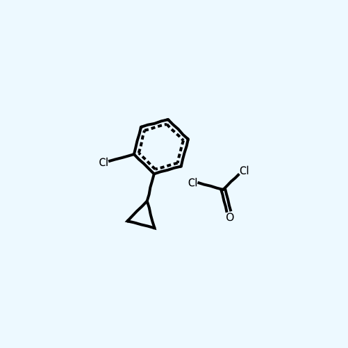 Clc1ccccc1C1CC1.O=C(Cl)Cl